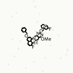 CCc1c(F)ccc2cc(OCc3ccccc3)cc(N3CCc4c(nc(OC[C@@]56CCCN5C[C@H](F)C6)nc4OC)C3)c12